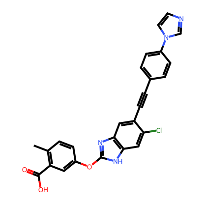 Cc1ccc(Oc2nc3cc(C#Cc4ccc(-n5ccnc5)cc4)c(Cl)cc3[nH]2)cc1C(=O)O